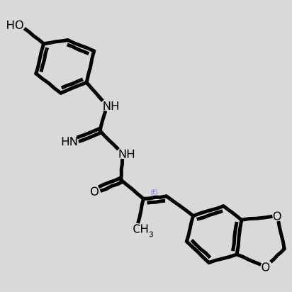 C/C(=C\c1ccc2c(c1)OCO2)C(=O)NC(=N)Nc1ccc(O)cc1